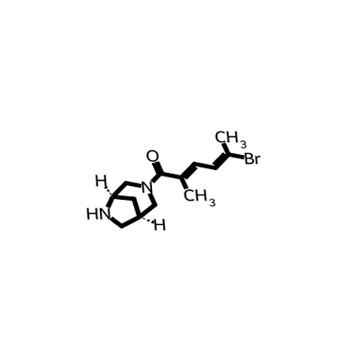 C/C(Br)=C\C=C(/C)C(=O)N1C[C@H]2CN[C@H](C2)C1